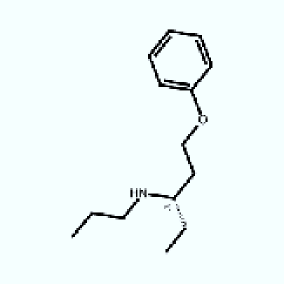 CCCN[C@@H](CC)CCOc1ccccc1